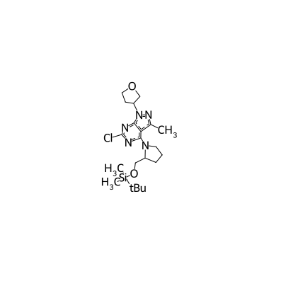 Cc1nn(C2CCOC2)c2nc(Cl)nc(N3CCCC3CO[Si](C)(C)C(C)(C)C)c12